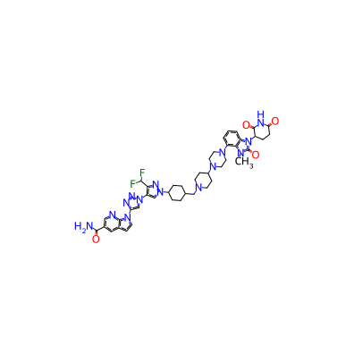 Cn1c(=O)n(C2CCC(=O)NC2=O)c2cccc(N3CCN(C4CCN(CC5CCC(n6cc(-n7cc(-n8ccc9cc(C(N)=O)cnc98)nn7)c(C(F)F)n6)CC5)CC4)CC3)c21